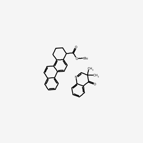 CC(C)(C)OC(=O)C1CCCc2c1ccc1c2ccc2ccccc21.CC1(C)C=Nc2ccccc2C1=O